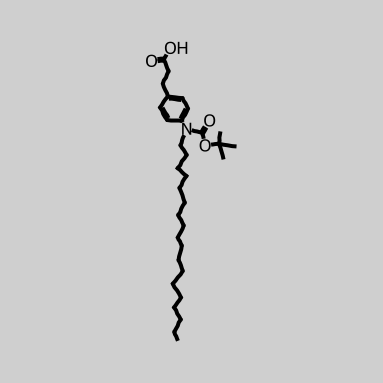 CCCCCCCCCCCCCCCCCCN(C(=O)OC(C)(C)C)c1ccc(CCC(=O)O)cc1